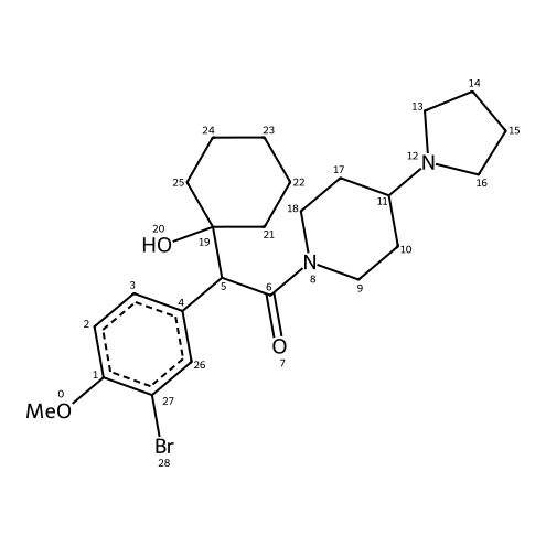 COc1ccc(C(C(=O)N2CCC(N3CCCC3)CC2)C2(O)CCCCC2)cc1Br